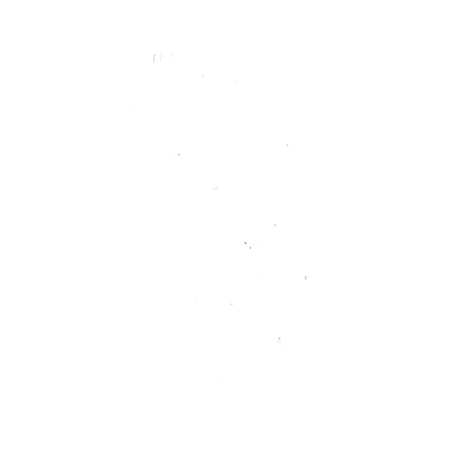 CC(=O)c1ccccc1C(=O)Nc1ccccc1Oc1ccc(C(=O)O)c(C(=O)O)c1